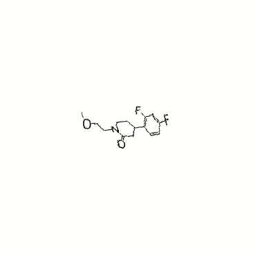 COCCN1CCC(c2ccc(F)cc2F)CC1=O